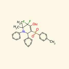 Cc1ccc(S(=O)(=O)C2=C(O)C(F)(F)C(C)(C)N(c3ccccc3)C2c2ccccc2)cc1